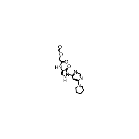 O=COCC(=O)Nc1c[nH]n(-c2cc(N3CCCCC3)ncn2)c1=O